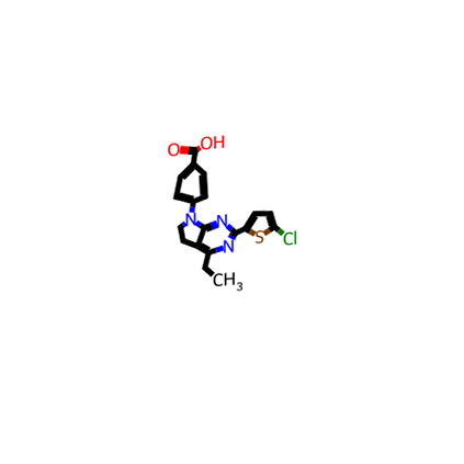 CCc1nc(-c2ccc(Cl)s2)nc2c1CCN2c1ccc(C(=O)O)cc1